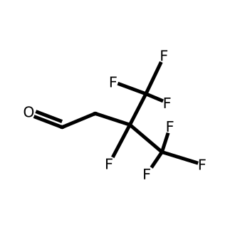 O=CCC(F)(C(F)(F)F)C(F)(F)F